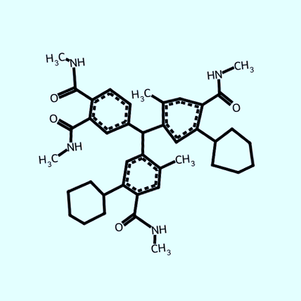 CNC(=O)c1ccc(C(c2cc(C3CCCCC3)c(C(=O)NC)cc2C)c2cc(C3CCCCC3)c(C(=O)NC)cc2C)cc1C(=O)NC